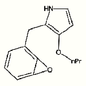 CCCOc1cc[nH]c1Cc1cccc2c1O2